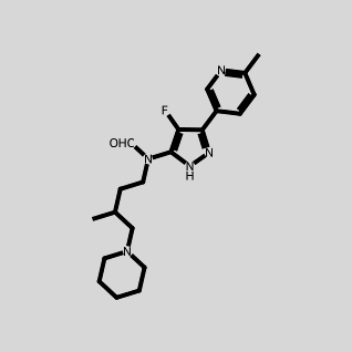 Cc1ccc(-c2n[nH]c(N(C=O)CCC(C)CN3CCCCC3)c2F)cn1